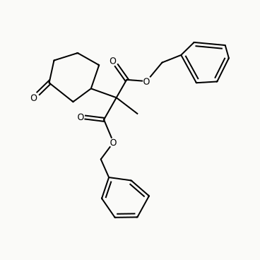 CC(C(=O)OCc1ccccc1)(C(=O)OCc1ccccc1)C1CCCC(=O)C1